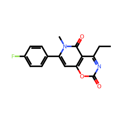 CCc1nc(=O)oc2cc(-c3ccc(F)cc3)n(C)c(=O)c12